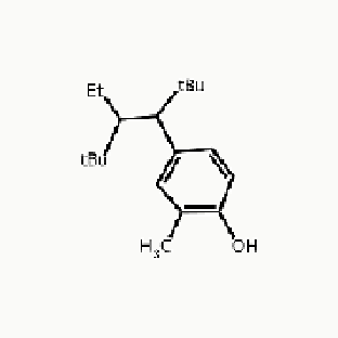 CCC(C(c1ccc(O)c(C)c1)C(C)(C)C)C(C)(C)C